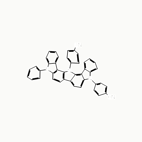 N#Cc1ccc(-n2c3ccccc3c3c2ccc2c4ccc5c(c6ccccc6n5-c5ccccc5)c4n(-c4ccc(C#N)cc4)c23)cc1